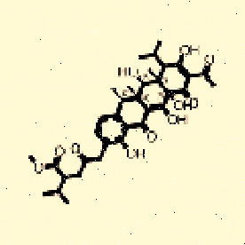 COC(=O)C(CC(=O)Cc1ccc2c(c1O)C(=O)C1=C(O)[C@@]3(O)C(=O)C(C(C)=O)=C(O)C(C(C)C)[C@@]3(C)[C@H](O)[C@@]1(C)[C@@H]2C)C(C)C